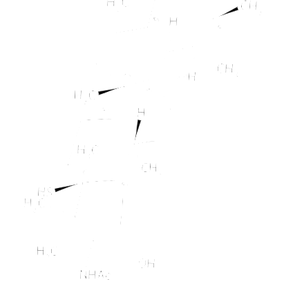 CC(=O)NC1C(O)C[C@]2(C)[C@H]3CC[C@@H]4[C@@H]5[C@@H](C)[C@H](C)CC[C@]5(C)CC[C@@]4(C)[C@]3(C)CC[C@@]2(S)C1(C)C